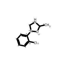 CC1N[CH]N(c2ccccc2Cl)O1